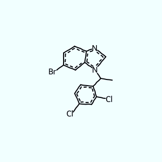 CC(c1ccc(Cl)cc1Cl)n1cnc2ccc(Br)cc21